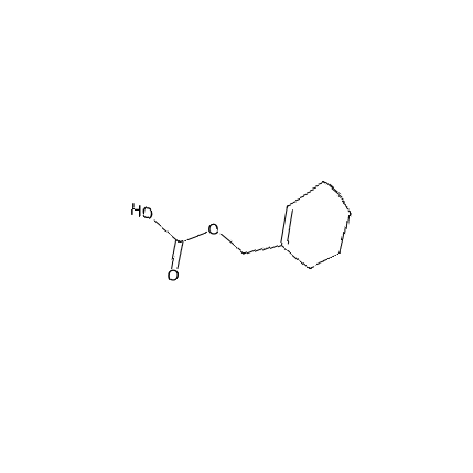 O=C(O)OCC1=CCCCC1